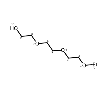 [CH2]COCCOCCOCCO